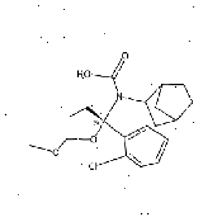 CC[C@](OCOC)(c1ccccc1Cl)N(C(=O)O)C1CC2CCC1C2